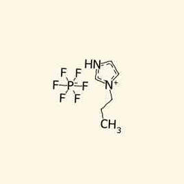 CCC[n+]1cc[nH]c1.F[P-](F)(F)(F)(F)F